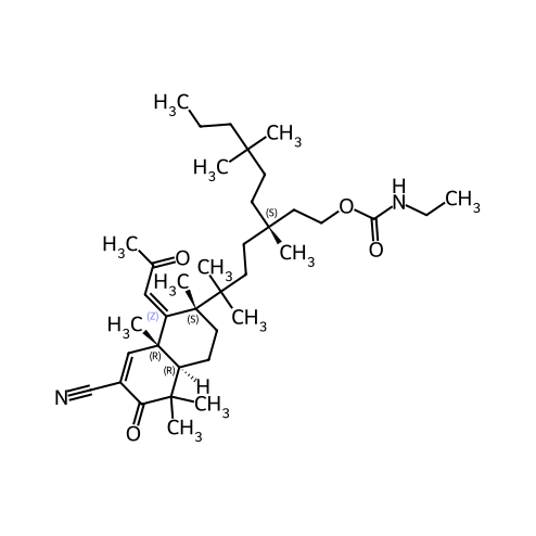 CCCC(C)(C)CC[C@](C)(CCOC(=O)NCC)CCC(C)(C)[C@]1(C)CC[C@H]2C(C)(C)C(=O)C(C#N)=C[C@]2(C)/C1=C/C(C)=O